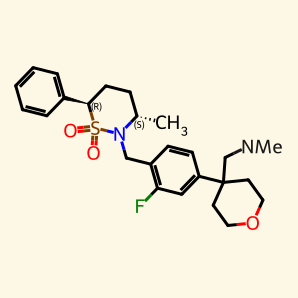 CNCC1(c2ccc(CN3[C@@H](C)CC[C@H](c4ccccc4)S3(=O)=O)c(F)c2)CCOCC1